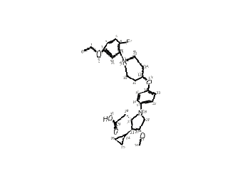 CCOc1ccc(F)c(N2CCC(Oc3ccc(N4C[C@H](OC)[C@@H](C5CC5)[C@@H]4CC(=O)O)cc3)CC2)c1